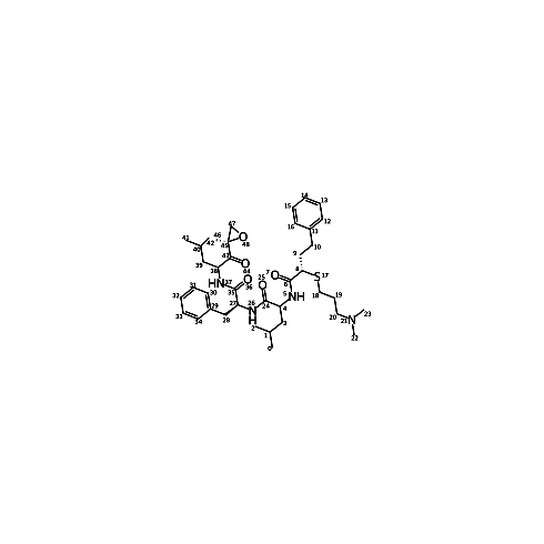 CC(C)CC(NC(=O)[C@H](CCc1ccccc1)SCCCN(C)C)C(=O)N[C@@H](Cc1ccccc1)C(=O)NC(CC(C)C)C(=O)[C@@]1(C)CO1